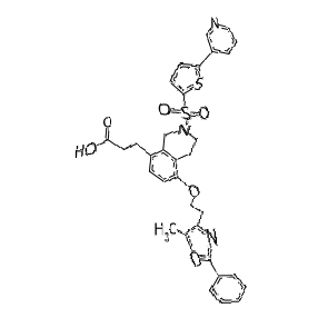 Cc1oc(-c2ccccc2)nc1CCOc1ccc(CCC(=O)O)c2c1CCN(S(=O)(=O)c1ccc(-c3cccnc3)s1)C2